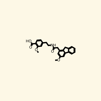 COc1cc(CC(=O)NCCc2ccc(C(=O)O)c(OC)c2)c2c(c1)-c1ccccc1C2